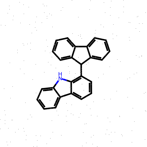 c1ccc2c(c1)-c1ccccc1C2c1cccc2c1[nH]c1ccccc12